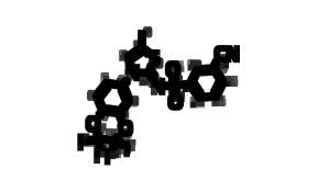 Cc1cn(-c2ccc3c(c2)OC(F)(F)C(F)(F)O3)c(=NS(=O)(=O)c2cccc(C#N)c2)s1